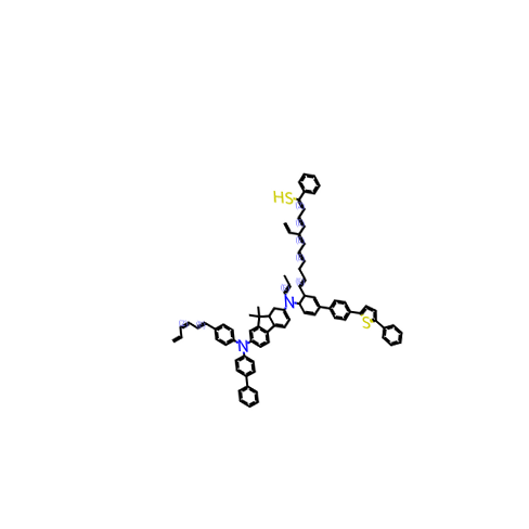 C=C/C=C\C=C\c1ccc(N(c2ccc(-c3ccccc3)cc2)c2ccc3c(c2)C(C)(C)C2CC(N(/C=C/C)C4C=CC(c5ccc(-c6ccc(-c7ccccc7)s6)cc5)=CC4/C=C/C/C=C/C=C(C=C)/C=C/C=C(\S)c4ccccc4)=CC=C32)cc1